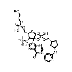 CC(C)(C)[Si](C)(C)OC1[C@@H](COP(O)(=S)OCCC#N)OC[C@]1(OP(=O)(S)OC[C@@H]1CC[C@H](Oc2ccncn2)C1)n1cnc2c(=O)[nH]cnc21